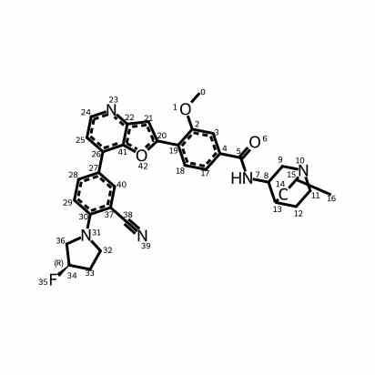 COc1cc(C(=O)NC2CN3CCC2CC3C)ccc1-c1cc2nccc(-c3ccc(N4CC[C@@H](F)C4)c(C#N)c3)c2o1